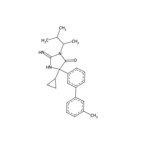 Cc1cccc(-c2cccc(C3(C4CC4)NC(=N)N(C(C)C(C)C)C3=O)c2)c1